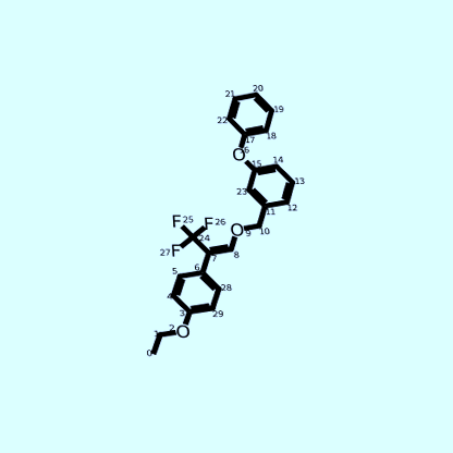 CCOc1ccc(C(=COCc2cccc(Oc3ccccc3)c2)C(F)(F)F)cc1